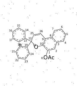 CC(=O)Oc1cc2ccccc2c2c1OC(c1ccccc1)(c1ccccc1)C=C2